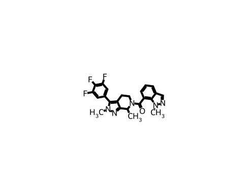 CC1c2nn(C)c(-c3cc(F)c(F)c(F)c3)c2CCN1C(=O)c1cccc2cnn(C)c12